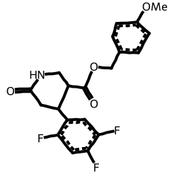 COc1ccc(COC(=O)C2CNC(=O)CC2c2cc(F)c(F)cc2F)cc1